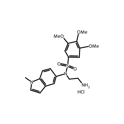 COc1cc(S(=O)(=O)N(CCN)c2ccc3c(ccn3C)c2)cc(OC)c1OC.Cl